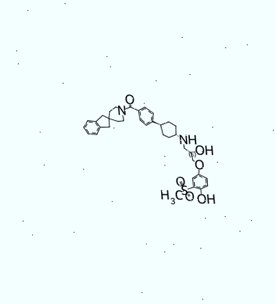 CS(=O)(=O)c1cc(OC[C@@H](O)CN[C@H]2CC[C@H](c3ccc(C(=O)N4CCC5(CC4)Cc4ccccc4C5)cc3)CC2)ccc1O